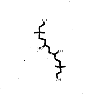 CC(C)(CCO)CCC(O)CCC(O)CCC(C)(C)CCO